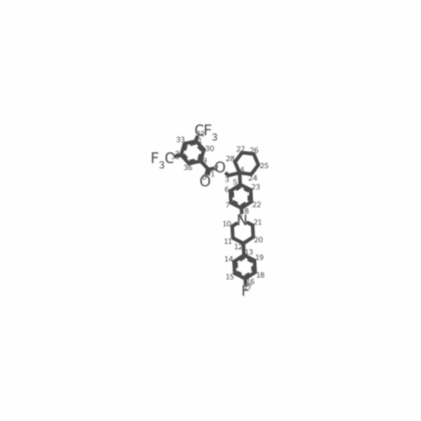 O=C(OCC1(c2ccc(N3CCC(c4ccc(F)cc4)CC3)cc2)CCCCC1)c1cc(C(F)(F)F)cc(C(F)(F)F)c1